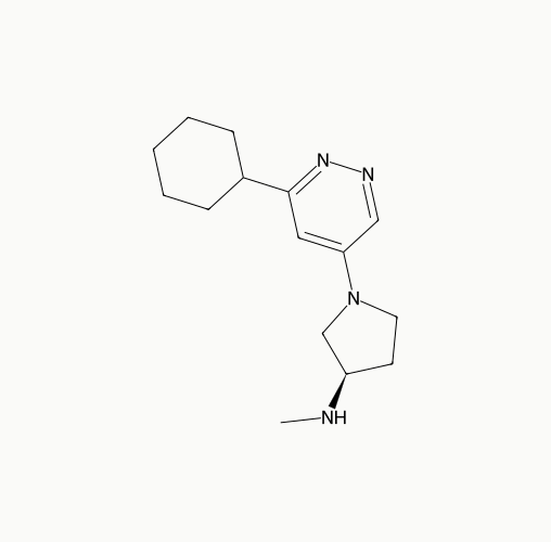 CN[C@@H]1CCN(c2cnnc(C3CCCCC3)c2)C1